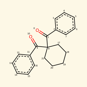 O=C(c1ccccc1)C1(C(=O)c2ccccc2)CCCCC1